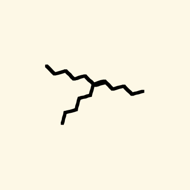 CCCCC=C(CCCCC)CCCCC